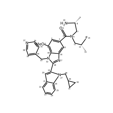 COc1cc(C(=O)N(C[C@@H](C)N)C[C@@H](C)F)cc2nc(-c3cc4ccccc4n3CC3CC3)n(Cc3ccncc3)c12